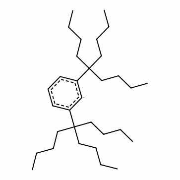 CCCCC(CCCC)(CCCC)c1[c]c(C(CCCC)(CCCC)CCCC)ccc1